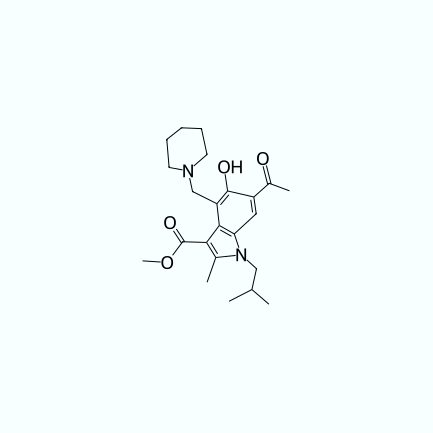 COC(=O)c1c(C)n(CC(C)C)c2cc(C(C)=O)c(O)c(CN3CCCCC3)c12